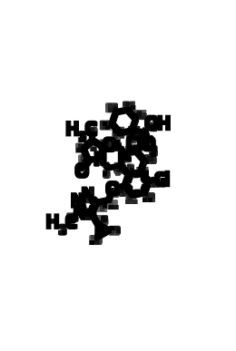 CC1CC(=O)N(C[C@@H]2c3c(OCc4nnn(C)c4C4CC4)ccc(Cl)c3CCN2C(=O)[C@@H]2CCCC[C@]2(C)C(=O)O)C1